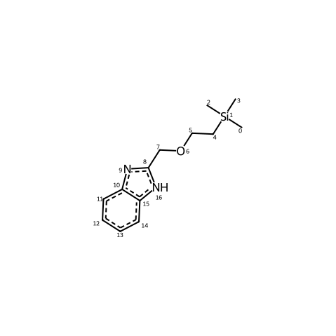 C[Si](C)(C)CCOCc1nc2ccccc2[nH]1